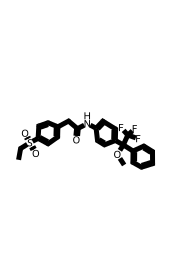 CCS(=O)(=O)c1ccc(CC(=O)Nc2ccc(C(OC)(c3ccccc3)C(F)(F)F)cc2)cc1